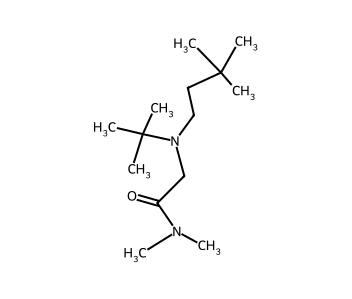 CN(C)C(=O)CN(CCC(C)(C)C)C(C)(C)C